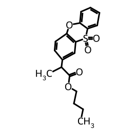 CCCCOC(=O)C(C)c1ccc2c(c1)S(=O)(=O)c1ccccc1O2